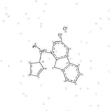 C[CH](C)[Hf+2]([c]1cccc2c1Cc1ccccc1-2)[CH]1C=CC=C1.[Cl-].[Cl-]